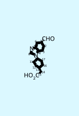 O=Cc1ccc2c(c1)ncn2-c1ccc(CC(=O)O)cc1